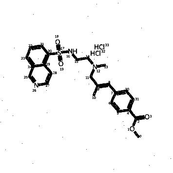 COC(=O)c1ccc(C=C(C)CN(C)CCNS(=O)(=O)c2cccc3cnccc23)cc1.Cl.Cl